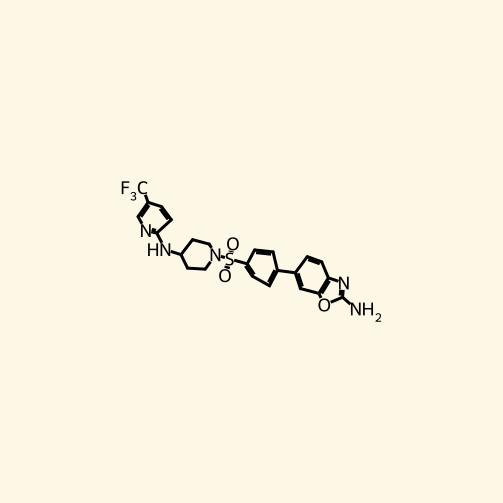 Nc1nc2ccc(-c3ccc(S(=O)(=O)N4CCC(Nc5ccc(C(F)(F)F)cn5)CC4)cc3)cc2o1